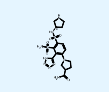 NC(=O)C1CCN(c2ccc(S(=O)(=O)N[C@@H]3CCNC3)c(S(N)(=O)=O)c2-c2nnn[nH]2)C1